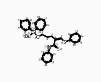 CC(C)(C)[Si](OCCCC(=CSc1ccccc1)C(=S)Nc1ccccc1)(c1ccccc1)c1ccccc1